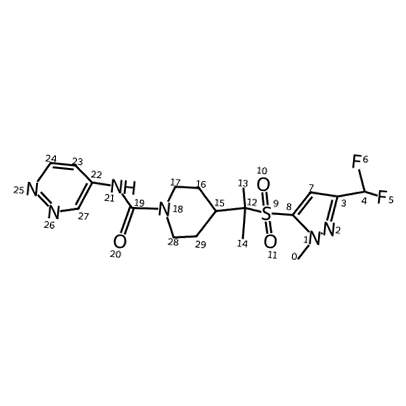 Cn1nc(C(F)F)cc1S(=O)(=O)C(C)(C)C1CCN(C(=O)Nc2ccnnc2)CC1